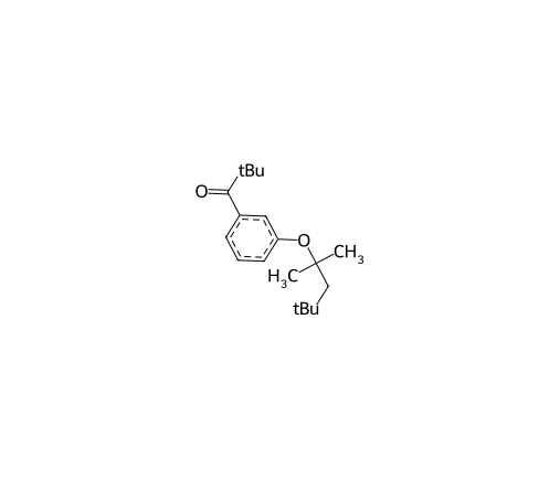 CC(C)(C)CC(C)(C)Oc1cccc(C(=O)C(C)(C)C)c1